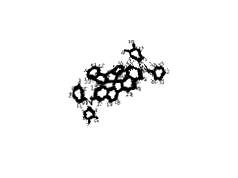 Cc1ccc(N(c2ccccc2)c2ccc3c4c(ccc3c2)-c2ccc3cc(N(c5ccccc5)c5ccc(C)c(C)c5)ccc3c2C42c3ccccc3-c3c2ccc2ccccc32)cc1C